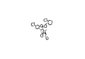 COCCN1C(=O)CC(c2ccc(Cl)cc2)C(C(=O)OCc2ccccc2Cl)=C1C